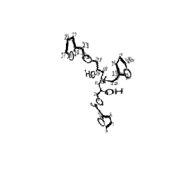 OC(COCc1ccco1)CN(Cc1ccco1)CC(O)COCc1ccco1